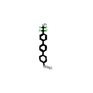 CCCCCCCC1CCC(c2ccc(-c3ccc(C(F)(F)C(F)(F)CCC)cc3)cc2)CC1